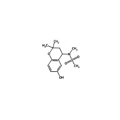 CN(C1CC(C)(C)Oc2ccc(O)cc21)S(C)(=O)=O